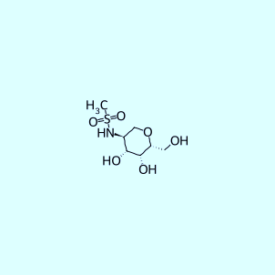 CS(=O)(=O)N[C@H]1CO[C@H](CO)[C@H](O)[C@@H]1O